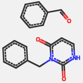 O=Cc1ccccc1.O=c1cc[nH]c(=O)n1Cc1ccccc1